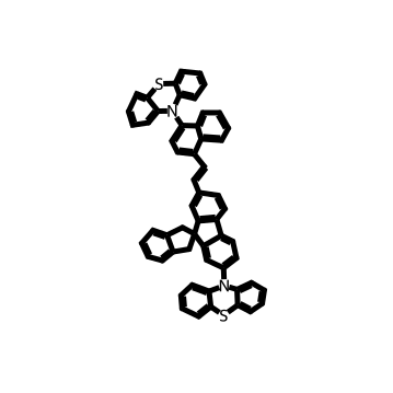 C(=C\c1ccc(N2c3ccccc3Sc3ccccc32)c2ccccc12)/c1ccc2c(c1)C1(Cc3ccccc3C1)c1cc(N3c4ccccc4Sc4ccccc43)ccc1-2